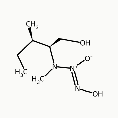 CC[C@@H](C)[C@@H](CO)N(C)[N+]([O-])=NO